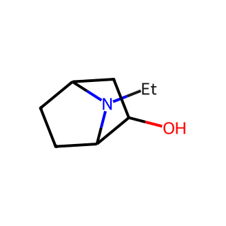 CCN1C2CCC1C(O)C2